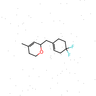 CC1=CC(CC2=CCC(F)(F)CC2)OCC1